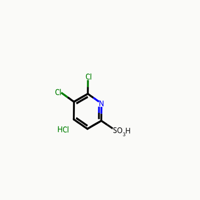 Cl.O=S(=O)(O)c1ccc(Cl)c(Cl)n1